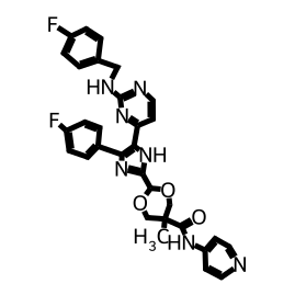 CC1(C(=O)Nc2ccncc2)COC(c2nc(-c3ccc(F)cc3)c(-c3ccnc(NCc4ccc(F)cc4)n3)[nH]2)OC1